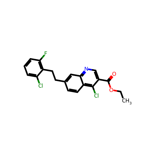 CCOC(=O)c1cnc2cc(CCc3c(F)cccc3Cl)ccc2c1Cl